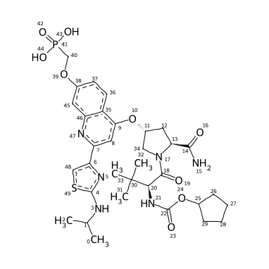 CC(C)Nc1nc(-c2cc(O[C@@H]3C[C@@H](C(N)=O)N(C(=O)[C@@H](NC(=O)OC4CCCC4)C(C)(C)C)C3)c3ccc(OCP(=O)(O)O)cc3n2)cs1